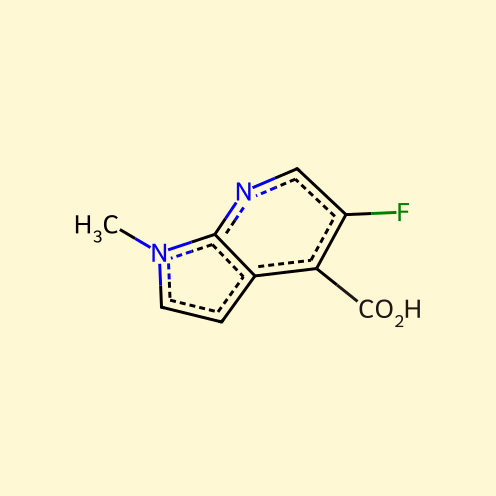 Cn1ccc2c(C(=O)O)c(F)cnc21